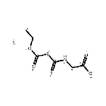 CCOC(=O)SC(=S)NCC(=O)[O-].[Li+]